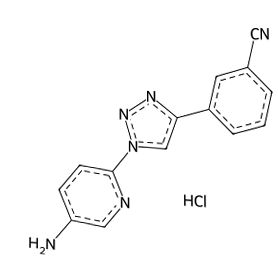 Cl.N#Cc1cccc(-c2cn(-c3ccc(N)cn3)nn2)c1